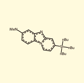 CCC[CH2][Sn]([CH2]CCC)([CH2]CCC)[c]1ccn2c(c1)nc1cc(NC)ccc12